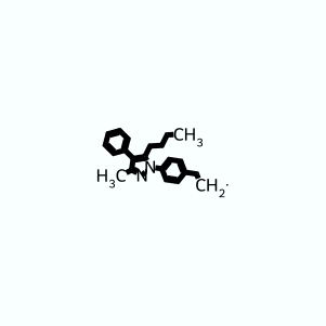 [CH2]Cc1ccc(-n2nc(C)c(-c3ccccc3)c2CCCC)cc1